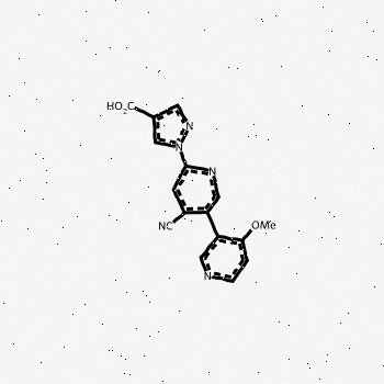 COc1ccncc1-c1cnc(-n2cc(C(=O)O)cn2)cc1C#N